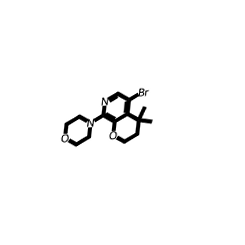 CC1(C)CCOc2c(N3CCOCC3)ncc(Br)c21